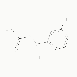 Cc1cccc(CSC(=N)N)c1.Cl